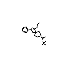 CCOC(=O)C1(CCc2ccccc2)CCN(C(=O)OC(C)(C)C)CC1